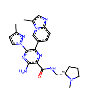 Cc1ccn(-c2nc(N)c(C(=O)NC[C@@H]3CCCN3C)nc2-c2ccc3ncc(C)n3c2)n1